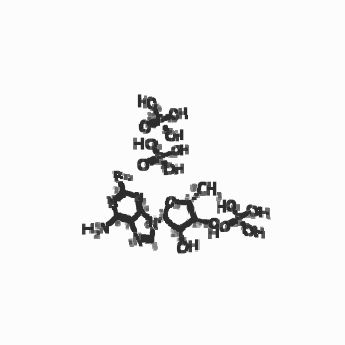 C[C@H]1O[C@@H](n2cnc3c(N)nc(F)nc32)[C@H](O)[C@@H]1O.O=P(O)(O)O.O=P(O)(O)O.O=P(O)(O)O